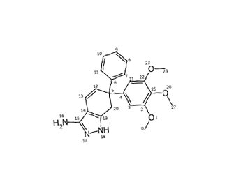 COc1cc(C2(c3ccccc3)C=Cc3c(N)n[nH]c3C2)cc(OC)c1OC